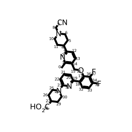 Cc1nc(C2CCN(CC#N)CC2)ccc1COc1c(-c2cccc(N3CCC(C(=O)O)CC3)n2)ccc(F)c1F